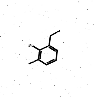 CCc1cccc(C)c1Br